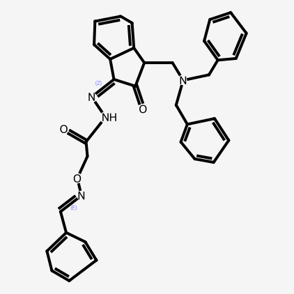 O=C(CO/N=C/c1ccccc1)N/N=C1\C(=O)C(CN(Cc2ccccc2)Cc2ccccc2)c2ccccc21